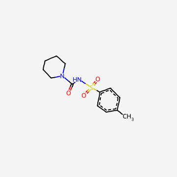 Cc1ccc(S(=O)(=O)NC(=O)N2CCCCC2)cc1